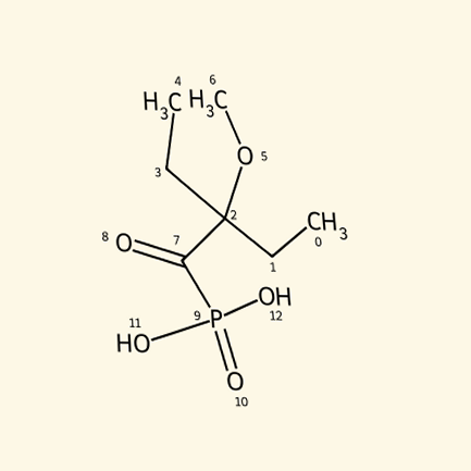 CCC(CC)(OC)C(=O)P(=O)(O)O